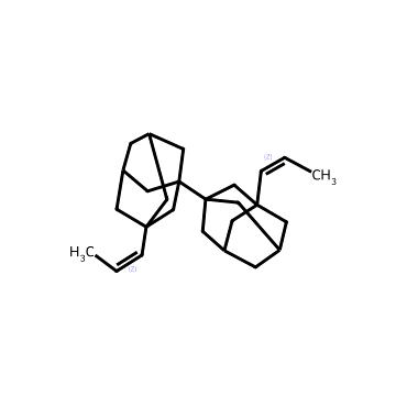 C/C=C\C12CC3CC(C1)CC(C14CC5CC(CC(/C=C\C)(C5)C1)C4)(C3)C2